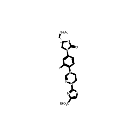 CCOC(=O)c1csc(N2CCN(c3ccc(N4C[C@H](CNC(C)=O)OC4=O)cc3F)C=N2)n1